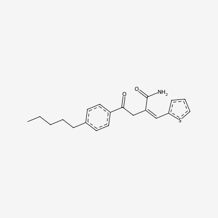 CCCCCc1ccc(C(=O)C/C(=C/c2cccs2)C(N)=O)cc1